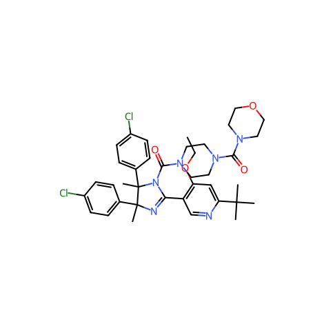 CCOc1cc(C(C)(C)C)ncc1C1=NC(C)(c2ccc(Cl)cc2)C(C)(c2ccc(Cl)cc2)N1C(=O)N1CCN(C(=O)N2CCOCC2)CC1